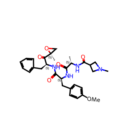 COc1ccc(C[C@H](NC(=O)[C@H](C)NC(=O)C2CN(C)C2)C(=O)N[C@@H](Cc2ccccc2)C(=O)[C@]2(C)CO2)cc1